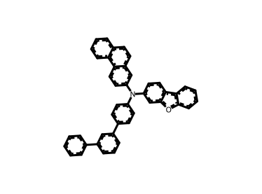 c1ccc(-c2cccc(-c3ccc(N(c4ccc5c(ccc6ccccc65)c4)c4ccc5c(c4)oc4ccccc45)cc3)c2)cc1